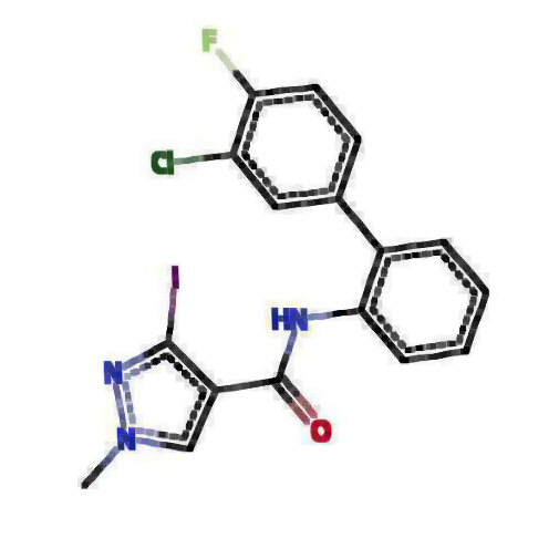 Cn1cc(C(=O)Nc2ccccc2-c2ccc(F)c(Cl)c2)c(I)n1